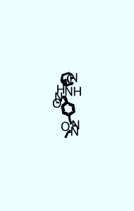 Cc1nnc(-c2ccc3c(N[C@@H]4CN5CCC4CC5)noc3c2)o1